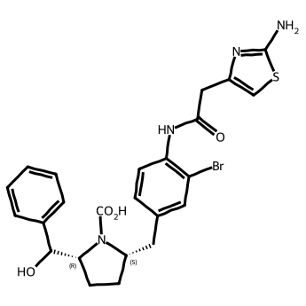 Nc1nc(CC(=O)Nc2ccc(C[C@@H]3CC[C@H](C(O)c4ccccc4)N3C(=O)O)cc2Br)cs1